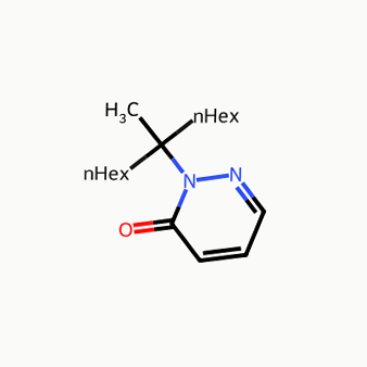 CCCCCCC(C)(CCCCCC)n1ncccc1=O